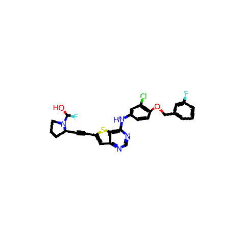 OC(F)N1CCCC1C#Cc1cc2ncnc(Nc3ccc(OCc4cccc(F)c4)c(Cl)c3)c2s1